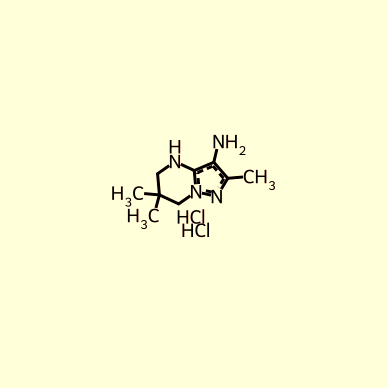 Cc1nn2c(c1N)NCC(C)(C)C2.Cl.Cl